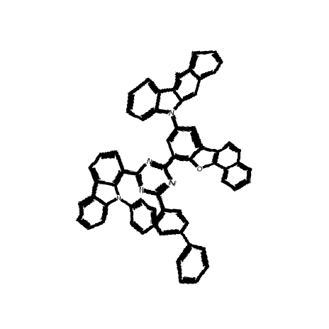 c1ccc(-c2ccc(-c3nc(-c4cc(-n5c6ccccc6c6cc7ccccc7cc65)cc5c4oc4c6ccccc6ccc54)nc(-c4cccc5c6ccccc6n(-c6ccccc6)c45)n3)cc2)cc1